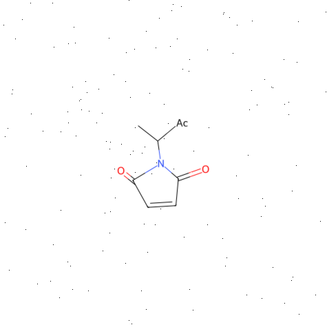 CC(=O)C(C)N1C(=O)C=CC1=O